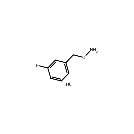 Cl.NOCc1cccc(F)c1